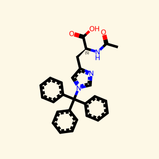 CC(=O)N[C@@H](Cc1cn(C(c2ccccc2)(c2ccccc2)c2ccccc2)cn1)C(=O)O